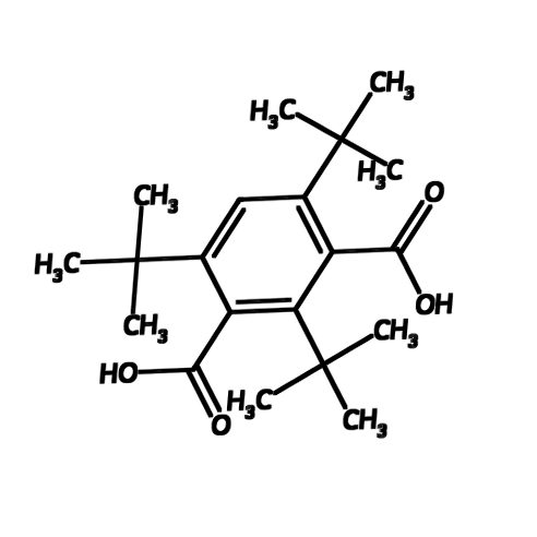 CC(C)(C)c1cc(C(C)(C)C)c(C(=O)O)c(C(C)(C)C)c1C(=O)O